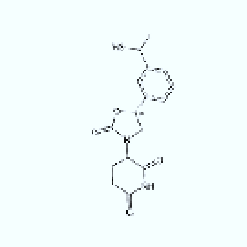 CC(S)c1cccc([C@@H]2CN(C3CCC(=O)NC3=O)C(=O)O2)c1